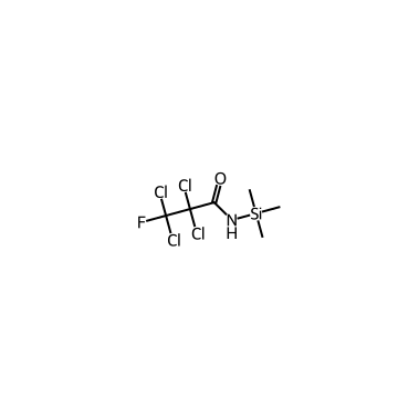 C[Si](C)(C)NC(=O)C(Cl)(Cl)C(F)(Cl)Cl